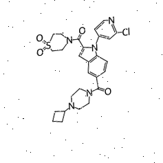 O=C(c1ccc2c(c1)cc(C(=O)N1CCS(=O)(=O)CC1)n2-c1ccnc(Cl)c1)N1CCN(C2CCC2)CC1